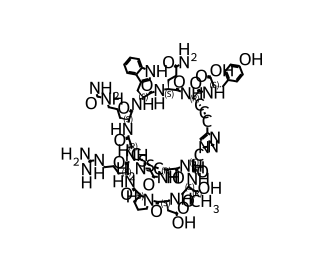 C[C@@H](O)[C@@H]1NC(=O)[C@@H]2Cn3cc(nn3)CCC[C@H](C(=O)N[C@@H](Cc3ccc(O)cc3)C(=O)O)NC(=O)[C@H](CCC(N)=O)NC(=O)[C@H](Cc3c[nH]c4ccccc34)NC(=O)[C@H](CCCNC(N)=O)NC(=O)[C@H](CSSC[C@H](NC(=O)CN)C(=O)N2)NC(=O)[C@H](CCCNC(=N)N)NC(=O)[C@@H]2CCCN2C(=O)[C@H](CC(=O)O)NC1=O